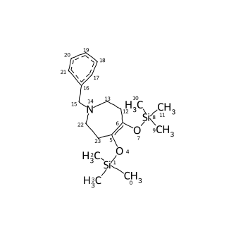 C[Si](C)(C)OC1=C(O[Si](C)(C)C)CCN(Cc2ccccc2)CC1